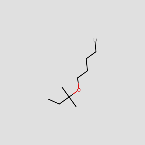 [Li][CH2]CCCOC(C)(C)CC